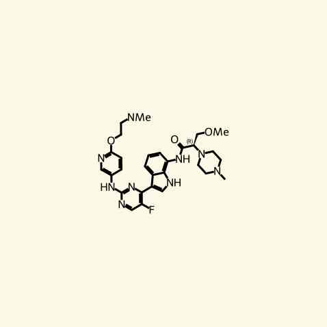 CNCCOc1ccc(Nc2ncc(F)c(-c3c[nH]c4c(NC(=O)[C@@H](COC)N5CCN(C)CC5)cccc34)n2)cn1